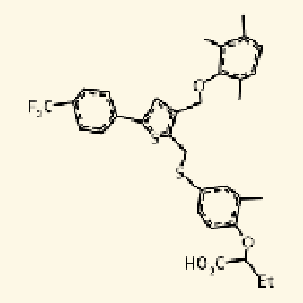 CCC(Oc1ccc(SCc2sc(-c3ccc(C(F)(F)F)cc3)cc2COc2c(C)ccc(C)c2C)cc1C)C(=O)O